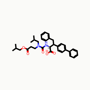 CC(C)COC(=O)CCN(CC(C)C)C(=O)N[C@H](C(=O)O)C(Cc1ccccc1)c1ccc(-c2ccccc2)cc1